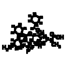 CN(C(=O)O)C1=N[C@@H]2[C@@H](OCc3ccccc3)[C@H](OCc3ccccc3)[C@@H]([C@@H](Oc3ccc(N)cc3)C(F)(F)F)O[C@@H]2S1